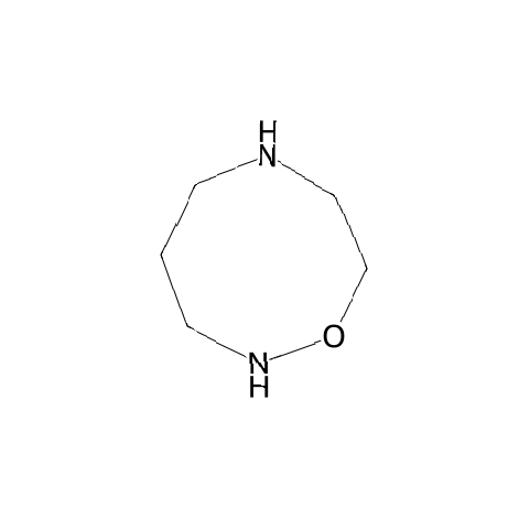 C1CNCCONC1